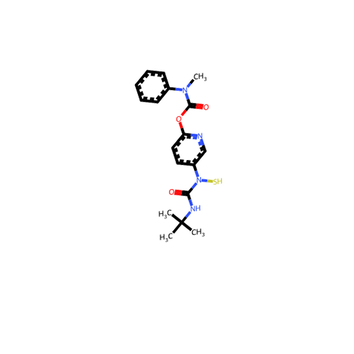 CN(C(=O)Oc1ccc(N(S)C(=O)NC(C)(C)C)cn1)c1ccccc1